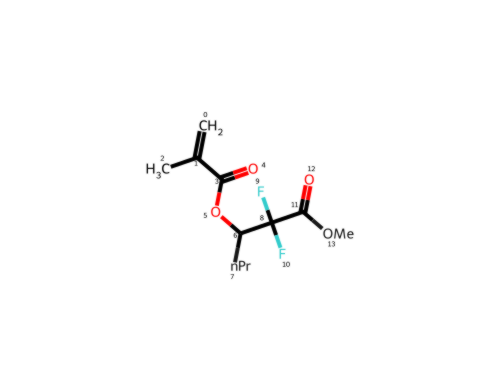 C=C(C)C(=O)OC(CCC)C(F)(F)C(=O)OC